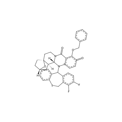 O=C1c2c(OCc3ccccc3)c(=O)ccn2N(C2c3ccccc3SCc3c2ccc(F)c3F)[C@@H]2[C@H]3C[C@@H]4CC[C@@]3(CCN12)O4